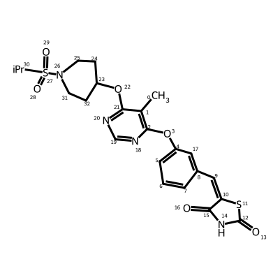 Cc1c(Oc2cccc(C=C3SC(=O)NC3=O)c2)ncnc1OC1CCN(S(=O)(=O)C(C)C)CC1